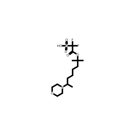 CC(CCCCC(C)(C)OC(=O)C(F)(F)S(=O)(=O)O)N1CCOCC1